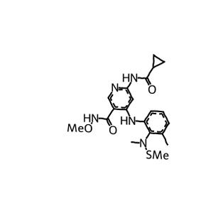 CONC(=O)c1cnc(NC(=O)C2CC2)cc1Nc1cccc(C)c1N(C)SC